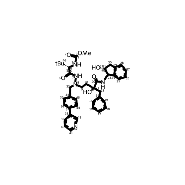 COC(=O)N[C@H](C(=O)NN(CC[C@](O)(Cc1ccccc1)C(=O)NC1c2ccccc2C[C@H]1O)Cc1ccc(-c2cccnc2)cc1)C(C)(C)C